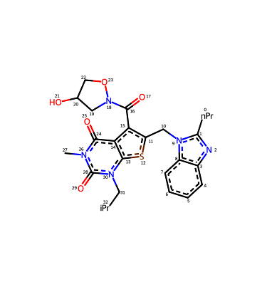 CCCc1nc2ccccc2n1Cc1sc2c(c1C(=O)N1CC(O)CO1)c(=O)n(C)c(=O)n2CC(C)C